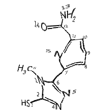 Cn1c(S)nnc1-c1cccc(C(N)=O)n1